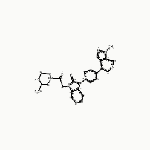 Cn1ncc2c(-c3ccc(-n4c(=O)n(CC(=O)N5CCOC(C(F)(F)F)C5)c5ccccc54)cc3)cncc21